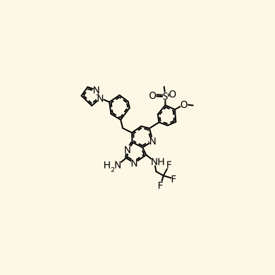 COc1ccc(-c2cc(Cc3cccc(-n4cccn4)c3)c3nc(N)nc(NCC(F)(F)F)c3n2)cc1S(C)(=O)=O